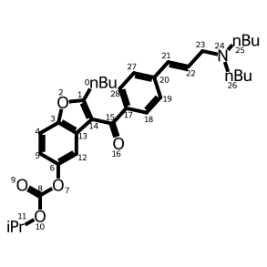 CCCCc1oc2ccc(OC(=O)OC(C)C)cc2c1C(=O)c1ccc(/C=C/CN(CCCC)CCCC)cc1